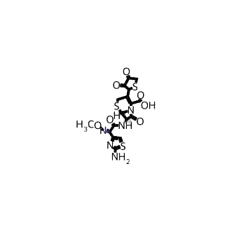 CO/N=C(\C(=O)N[C@@H]1C(=O)N2C(C(=O)O)=C(C3SCC(=O)C3=O)CS[C@@H]12)c1csc(N)n1